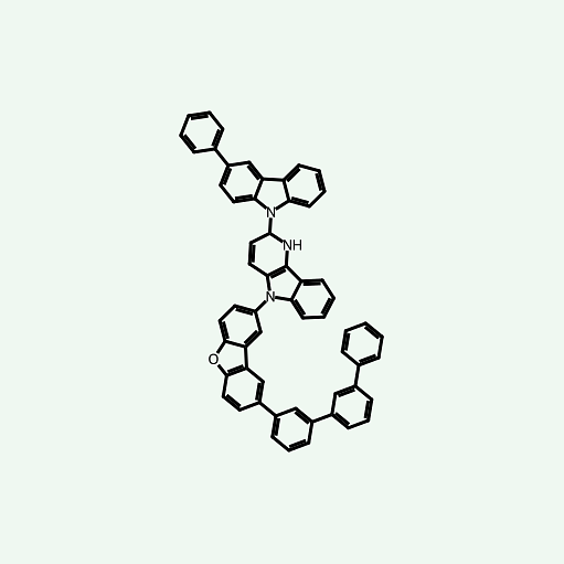 C1=CC(n2c3ccccc3c3cc(-c4ccccc4)ccc32)Nc2c1n(-c1ccc3oc4ccc(-c5cccc(-c6cccc(-c7ccccc7)c6)c5)cc4c3c1)c1ccccc21